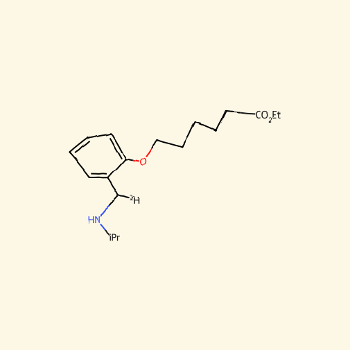 [2H]C(NC(C)C)c1ccccc1OCCCCCC(=O)OCC